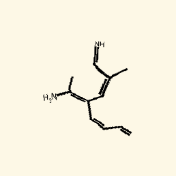 C=C\C=C/C(/C=C(/C)C=N)=C(/C)N